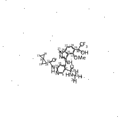 [2H]C([2H])([2H])NC(=O)c1cnc(NC(=O)C2CC23CC3)cc1Nc1nn(C)c2ccc([C@H](O)C(F)(F)F)c(OC)c12